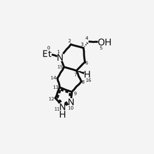 CCN1C[C@H](CO)C[C@@H]2Cc3n[nH]cc3CC21